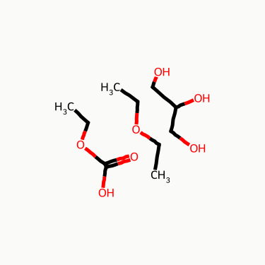 CCOC(=O)O.CCOCC.OCC(O)CO